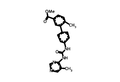 COC(=O)c1ccc(C)c(-c2ccc(NC(=O)Nc3ncncc3C)cc2)c1